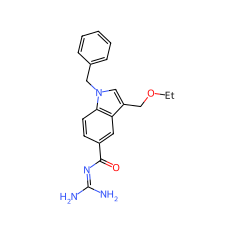 CCOCc1cn(Cc2ccccc2)c2ccc(C(=O)N=C(N)N)cc12